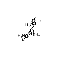 C=C1CCc2c1ccc(CCN(CCNN)Cc1cnn(-c3cc(N)c(C#N)cn3)c1)c2C